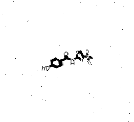 CS(=O)(=O)c1csc(NC(=O)c2ccc(O)cc2)n1